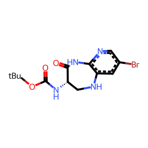 CC(C)(C)OC(=O)N[C@H]1CNc2cc(Br)cnc2NC1=O